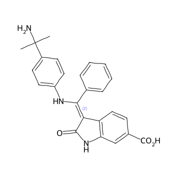 CC(C)(N)c1ccc(N/C(=C2\C(=O)Nc3cc(C(=O)O)ccc32)c2ccccc2)cc1